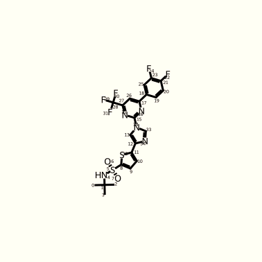 CC(C)(C)NS(=O)(=O)c1ccc(-c2cn(-c3nc(-c4ccc(F)c(F)c4)cc(C(F)(F)F)n3)cn2)s1